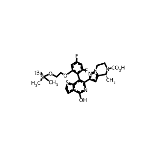 C[C@@H]1c2cc(-c3nc(O)c4ccsc4c3-c3c(F)cc(F)cc3OCCO[Si](C)(C)C(C)(C)C)nn2CCN1C(=O)O